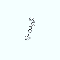 O=C(/C=C/c1ccc(CNC(=O)CNC23CC4CC(CC(C4)C2)C3)cc1)NO